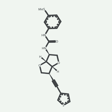 CSc1cccc(NC(=O)N[C@H]2CO[C@H]3[C@@H]2OC[C@@H]3C#Cc2ccsc2)c1